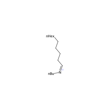 CCCCCCCCCC/C=N\CCCC